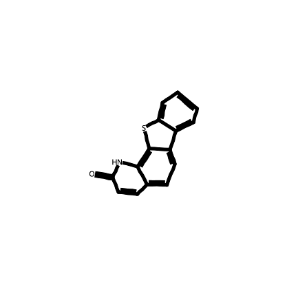 O=c1ccc2ccc3c4ccccc4sc3c2[nH]1